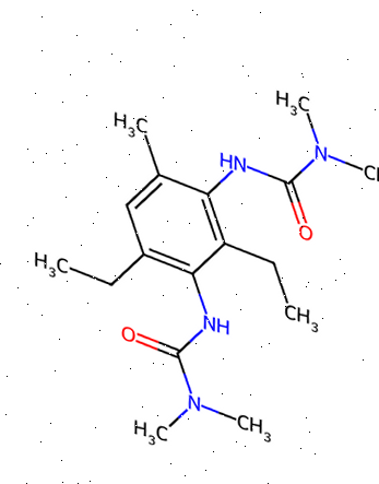 CCc1cc(C)c(NC(=O)N(C)C)c(CC)c1NC(=O)N(C)C